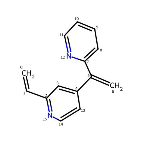 C=Cc1cc(C(=C)c2ccccn2)ccn1